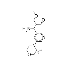 COCC(C=O)C(N)c1cncc(N2CCOC[C@@H]2C)c1